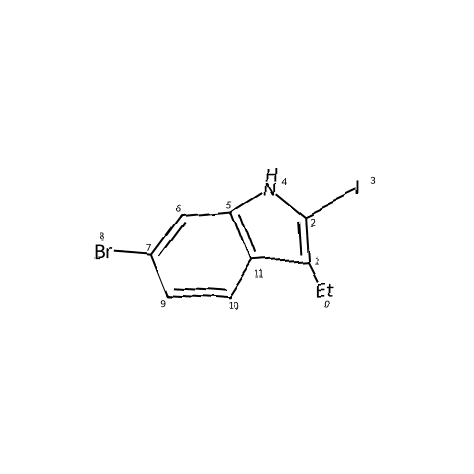 CCc1c(I)[nH]c2cc(Br)ccc12